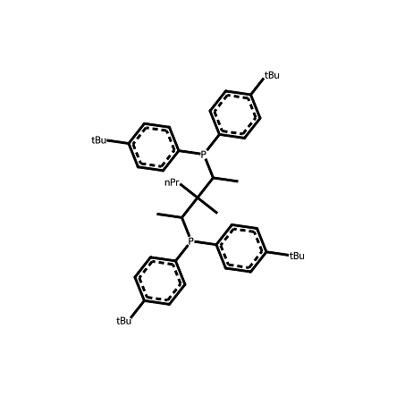 CCCC(C)(C(C)P(c1ccc(C(C)(C)C)cc1)c1ccc(C(C)(C)C)cc1)C(C)P(c1ccc(C(C)(C)C)cc1)c1ccc(C(C)(C)C)cc1